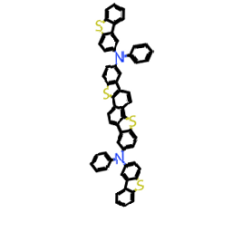 c1ccc(N(c2ccc3sc4ccccc4c3c2)c2ccc3sc4c(ccc5c4ccc4c6cc(N(c7ccccc7)c7ccc8sc9ccccc9c8c7)ccc6sc45)c3c2)cc1